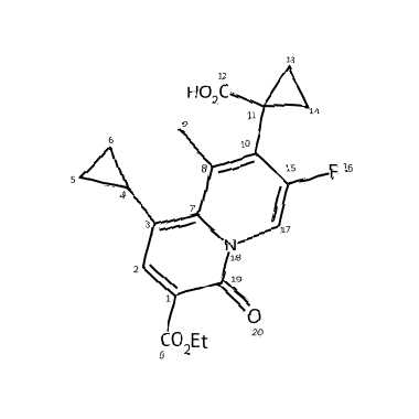 CCOC(=O)c1cc(C2CC2)c2c(C)c(C3(C(=O)O)CC3)c(F)cn2c1=O